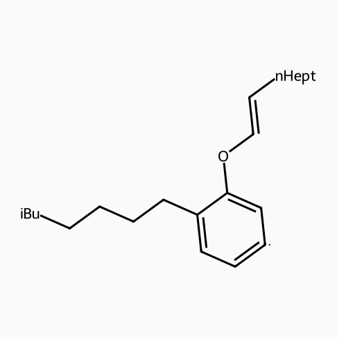 CCCCCCCC=COc1c[c]ccc1CCCCC(C)CC